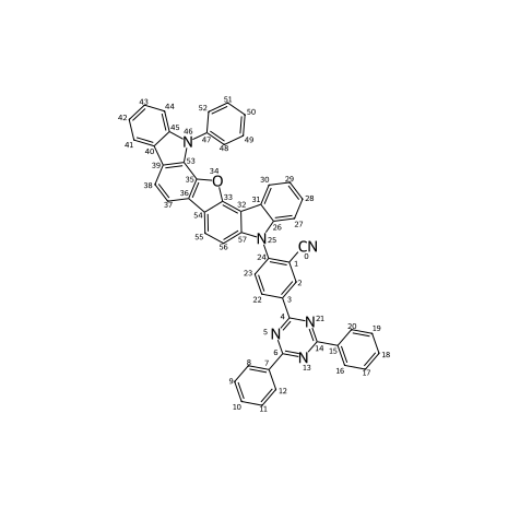 N#Cc1cc(-c2nc(-c3ccccc3)nc(-c3ccccc3)n2)ccc1-n1c2ccccc2c2c3oc4c(ccc5c6ccccc6n(-c6ccccc6)c54)c3ccc21